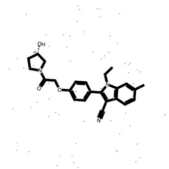 CCn1c(-c2ccc(OCC(=O)N3CC[C@H](O)C3)cc2)c(C#N)c2ccc(C)cc21